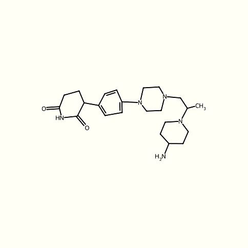 CC(CN1CCN(c2ccc(C3CCC(=O)NC3=O)cc2)CC1)N1CCC(N)CC1